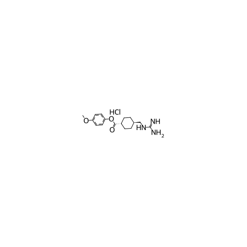 COc1ccc(OC(=O)[C@H]2CC[C@H](CNC(=N)N)CC2)cc1.Cl